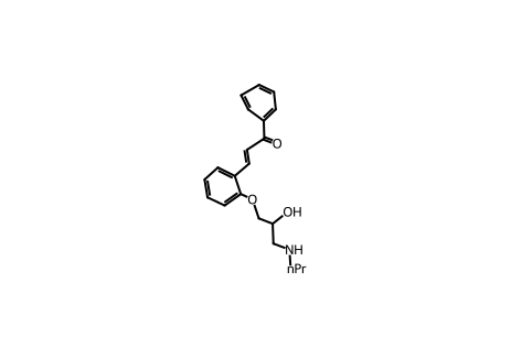 CCCNCC(O)COc1ccccc1C=CC(=O)c1ccccc1